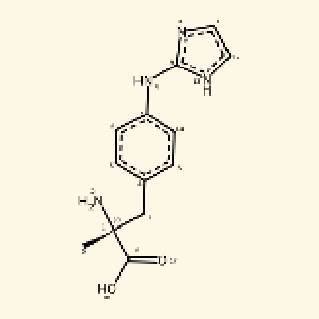 C[C@@](N)(Cc1ccc(Nc2ncc[nH]2)cc1)C(=O)O